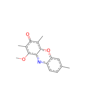 COc1c2nc3ccc(C)cc3oc-2c(C)c(=O)c1C